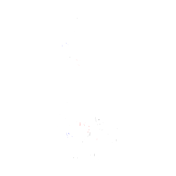 CC(C)C(NS(=O)(=O)c1ccc(-c2ccc(CC(=O)NCc3ccccc3)cc2)cc1)C(=O)OC(C)(C)C